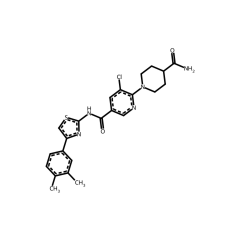 Cc1ccc(-c2csc(NC(=O)c3cnc(N4CCC(C(N)=O)CC4)c(Cl)c3)n2)cc1C